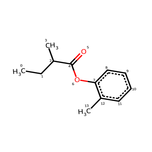 CCC(C)C(=O)Oc1ccccc1C